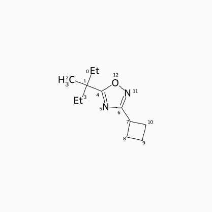 CCC(C)(CC)c1nc(C2CCC2)no1